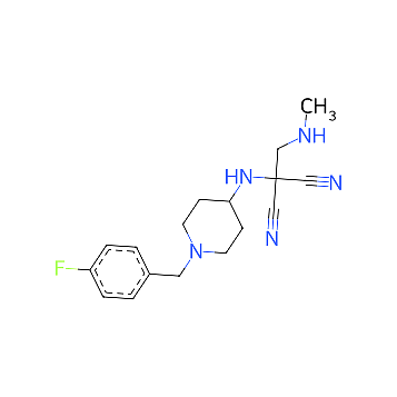 CNCC(C#N)(C#N)NC1CCN(Cc2ccc(F)cc2)CC1